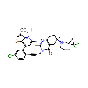 Cc1cc(-c2cc(Cl)ccc2C#CCn2c(C)nc3c(c2=O)C[C@@](C)(N2CCC[C@@]4(C2)CC4(F)F)CC3)c2scc(C(=O)O)c2n1